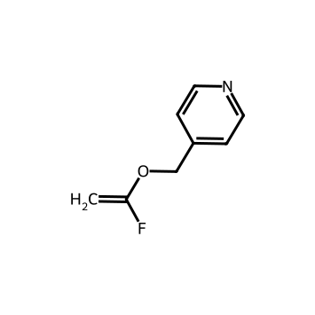 C=C(F)OCc1ccncc1